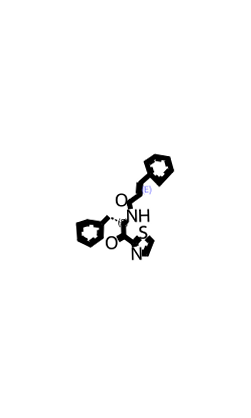 O=C(/C=C/c1ccccc1)N[C@@H](Cc1ccccc1)C(=O)c1nccs1